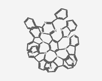 c1ccc(-c2nc(-c3ccccc3)nc(-c3c(-c4nc5ccccc5o4)c(-n4c5ccccc5c5ccncc54)c(-n4c5ccccc5c5ccncc54)c(-n4c5ccccc5c5ccncc54)c3-n3c4ccccc4c4ccncc43)n2)cc1